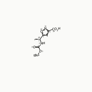 C[C@H](NC(=O)OC(C)(C)C)c1cc(C(=O)O)no1